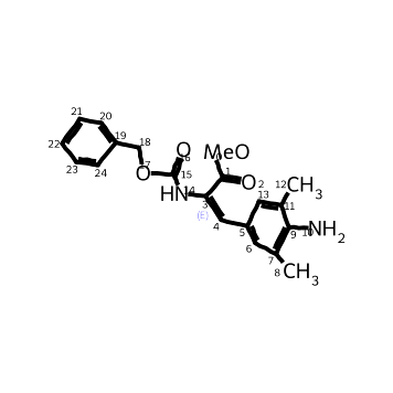 COC(=O)/C(=C\c1cc(C)c(N)c(C)c1)NC(=O)OCc1ccccc1